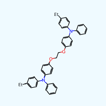 CCc1ccc(N(c2ccccc2)c2ccc(OCCOc3ccc(N(c4ccccc4)c4ccc(CC)cc4)cc3)cc2)cc1